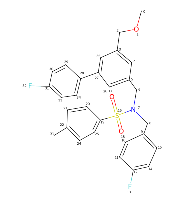 COCc1cc(CN(Cc2ccc(F)cc2)S(=O)(=O)c2ccc(C)cc2)cc(-c2ccc(F)cc2)c1